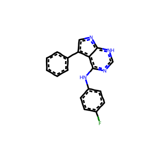 Fc1ccc(Nc2nc[nH]c3ncc(-c4ccccc4)c2-3)cc1